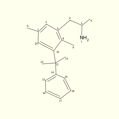 Cc1cc(CC(C)N)c(C)c(C(C)(C)c2ccccc2)c1